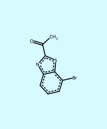 CC(=O)c1nc2cccc(Br)c2s1